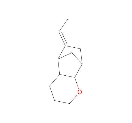 CC=C1CC2CC1C1CCCOC21